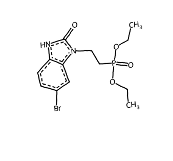 CCOP(=O)(CCn1c(=O)[nH]c2ccc(Br)cc21)OCC